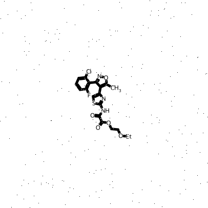 CCOCCOC(=O)C(=O)Nc1nc(-c2c(-c3c(F)cccc3Cl)noc2C)cs1